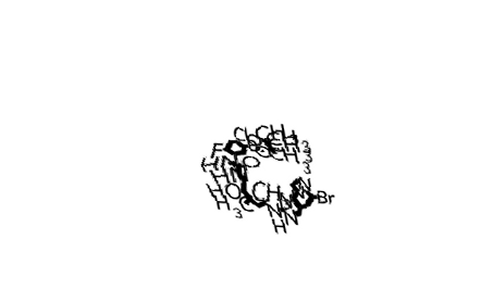 CC(C)(CCNc1ncc2c(n1)N1CCN=C1C(Br)=C2)C(O)CNC(=O)Nc1cc(B2OC(C)(C)C(C)(C)O2)c(Cl)cc1F